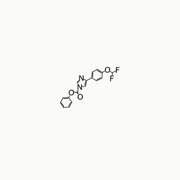 O=C(Oc1ccccc1)n1cnc(-c2ccc(OC(F)F)cc2)c1